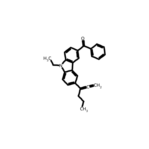 C=C=C(CCC)c1ccc2c(c1)c1cc(C(=O)c3ccccc3)ccc1n2CC